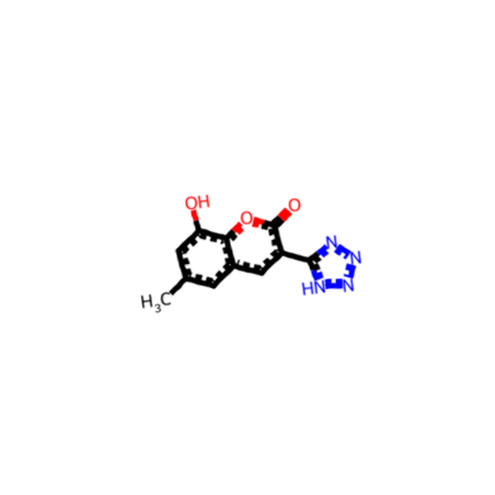 Cc1cc(O)c2oc(=O)c(-c3nnn[nH]3)cc2c1